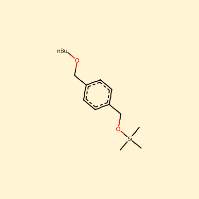 CCCCOCc1ccc(CO[Si](C)(C)C)cc1